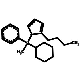 CCCCC1=CC=C[C]1[Si](C)(c1ccccc1)C1CCCCC1